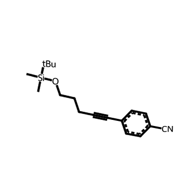 CC(C)(C)[Si](C)(C)OCCCC#Cc1ccc(C#N)cc1